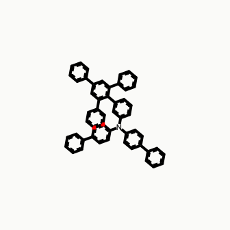 c1ccc(-c2ccc(N(c3ccc(-c4ccccc4)cc3)c3cccc(-c4c(-c5ccccc5)cc(-c5ccccc5)cc4-c4ccccc4)c3)cc2)cc1